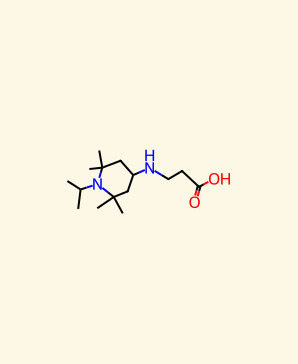 CC(C)N1C(C)(C)CC(NCCC(=O)O)CC1(C)C